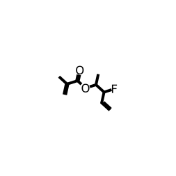 C=CC(F)C(C)OC(=O)C(=C)C